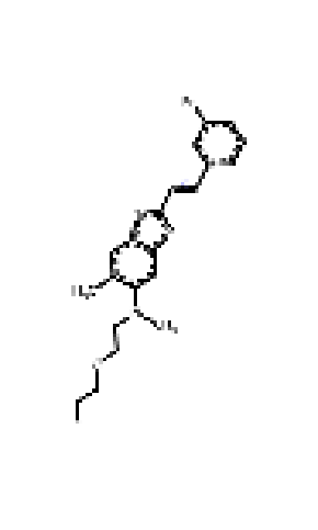 Cc1cc2nc(/C=C/c3cc[c]c(Br)c3)sc2cc1N(C)CCOCCF